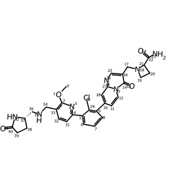 COc1nc(-c2cccc(-c3ccn4c(=O)c(CN5CCC5C(N)=O)cnc4c3)c2Cl)ccc1CNC[C@@H]1CCC(=O)N1